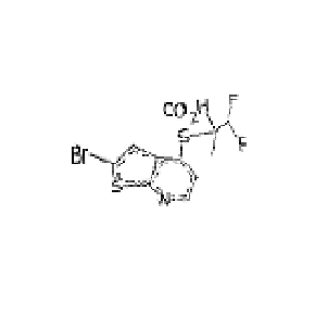 CC(Sc1ccnc2sc(Br)cc12)(C(=O)O)C(F)F